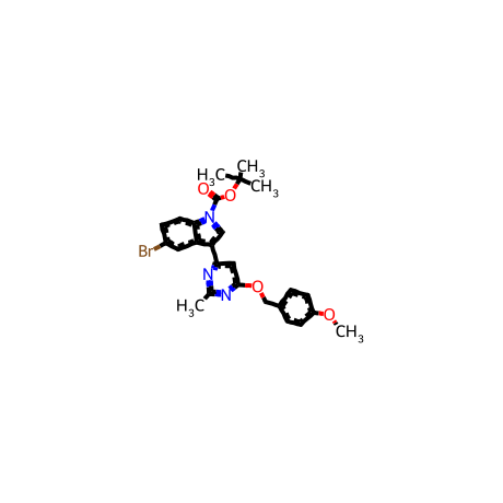 COc1ccc(COc2cc(-c3cn(C(=O)OC(C)(C)C)c4ccc(Br)cc34)nc(C)n2)cc1